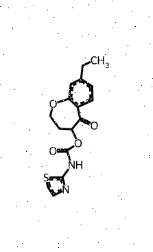 CCc1ccc2c(c1)OCCC(OC(=O)Nc1nccs1)C2=O